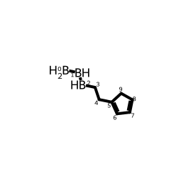 BBBCCC1=CC=CC1